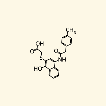 Cc1ccc(CC(=O)Nc2cc(SCC(=O)O)c(O)c3ccccc23)cc1